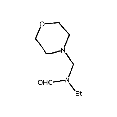 CCN(C=O)CN1CCOCC1